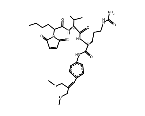 CCCCC(C(=O)N[C@H](C(=O)N[C@@H](CCCNC(N)=O)C(=O)Nc1ccc(C=C(COC)COC)cc1)C(C)C)N1C(=O)C=CC1=O